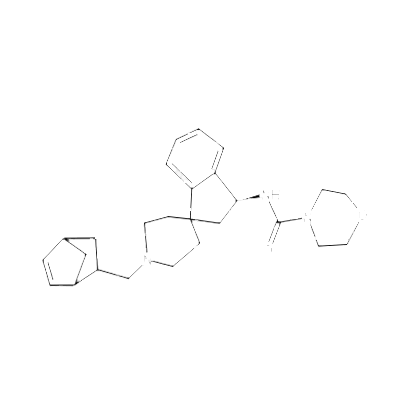 O=C(N[C@H]1CC2(CCN(CC3CC4C=CC3C4)CC2)c2ccccc21)N1CCOCC1